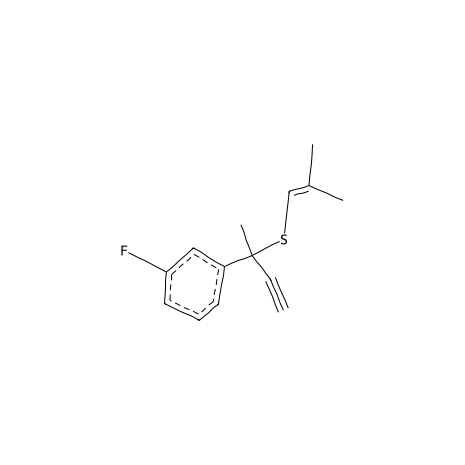 C#CC(C)(SC=C(C)C)c1cccc(F)c1